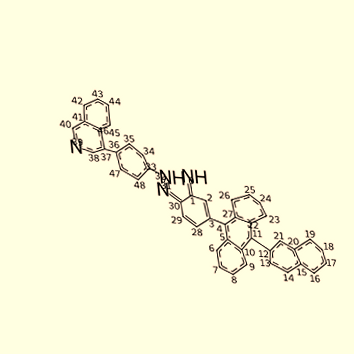 N=C1C=C(c2c3ccccc3c(-c3ccc4ccccc4c3)c3ccccc23)C=C/C1=N/Nc1ccc(-c2cncc3ccccc23)cc1